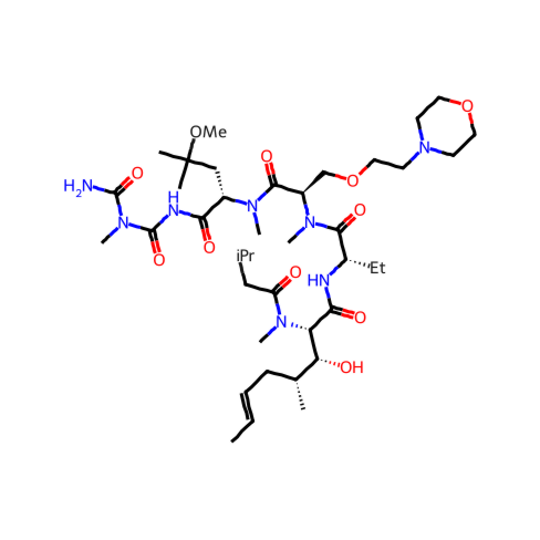 C/C=C/C[C@@H](C)[C@@H](O)[C@@H](C(=O)N[C@@H](CC)C(=O)N(C)[C@H](COCCN1CCOCC1)C(=O)N(C)[C@@H](CC(C)(C)OC)C(=O)NC(=O)N(C)C(N)=O)N(C)C(=O)CC(C)C